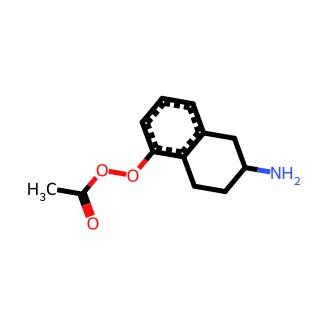 CC(=O)OOc1cccc2c1CCC(N)C2